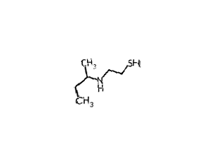 CCC(C)NCCS